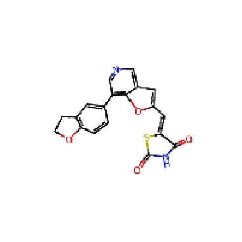 O=C1NC(=O)C(=Cc2cc3cncc(-c4ccc5c(c4)CCO5)c3o2)S1